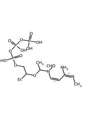 CCC(COP(=O)(O)OP(=O)(O)OP(=O)(O)O)OC(C)N(C=O)/C=C\C(N)=N/C